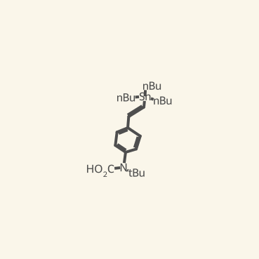 CCC[CH2][Sn](/[CH]=C/c1ccc(N(C(=O)O)C(C)(C)C)cc1)([CH2]CCC)[CH2]CCC